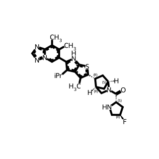 Cc1c(-c2[nH]c3sc([C@@H]4C[C@@H]5C[C@H]4CN5C(=O)[C@@H]4C[C@@H](F)CN4)c(C)c3c2C(C)C)cn2ncnc2c1C